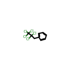 ClC(Cl)(Cl)C(Cl)(Cl)Cc1ccccc1